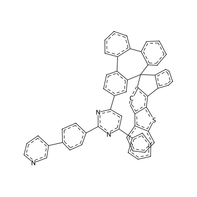 c1ccc(-c2cc(-c3ccc4c(c3)C3(c5ccccc5-c5ccccc5-4)c4ccccc4-c4c3ccc3c4sc4ccccc43)nc(-c3ccc(-c4cccnc4)cc3)n2)cc1